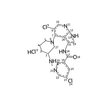 Cl.NC1CCCN(c2c(Cl)cnc3[nH]cc(NC(=O)c4cncc(Cl)c4)c23)C1